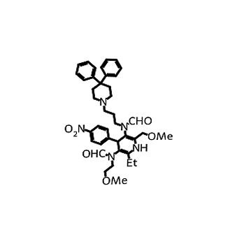 CCC1=C(N(C=O)CCOC)C(c2ccc([N+](=O)[O-])cc2)C(N(C=O)CCCN2CCC(c3ccccc3)(c3ccccc3)CC2)=C(COC)N1